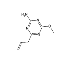 C=CCc1nc(N)nc(OC)n1